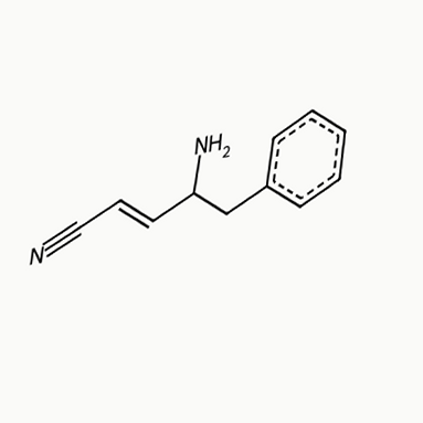 N#C/C=C/C(N)Cc1ccccc1